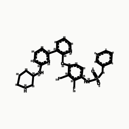 O=S(=O)(Cc1cccnc1)Nc1ccc(Oc2ncccc2-c2ccnc(NC3CCCNC3)n2)c(F)c1F